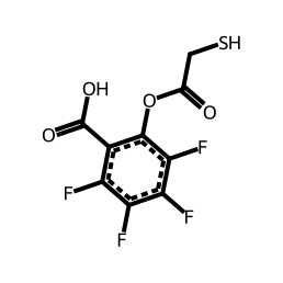 O=C(CS)Oc1c(F)c(F)c(F)c(F)c1C(=O)O